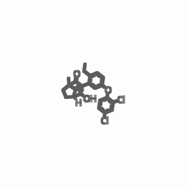 CCc1ccc(Oc2ccc(Cl)cc2Cl)cc1C1=C(O)[C@@H]2CCC(C)(C1=O)C2(C)C